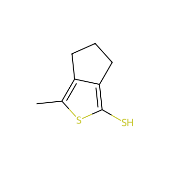 Cc1sc(S)c2c1CCC2